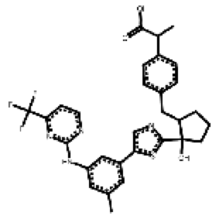 Cc1cc(Nc2nccc(C(F)(F)F)n2)cc(-c2cnc(C3(O)CCCC3Cc3ccc(C(C)C(=O)O)cc3)s2)c1